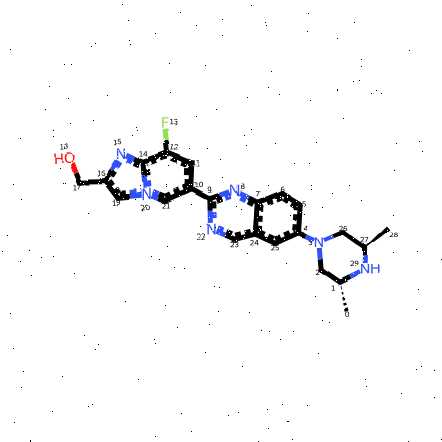 C[C@@H]1CN(c2ccc3nc(-c4cc(F)c5nc(CO)cn5c4)ncc3c2)C[C@@H](C)N1